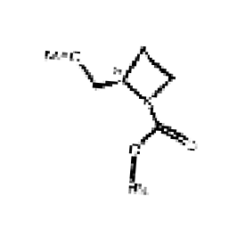 COC[C@H]1CCN1C(=O)OC(C)(C)C